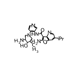 CC(C)c1cnc2c(C(=O)Nc3cnccc3N3CC(C)C(O)C(N)C3)c(N)oc2c1